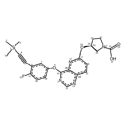 C[Si](C)(C)C#Cc1cc(Oc2ncnc3ccc(O[C@H]4CCN(C(=O)O)C4)nc23)ccc1F